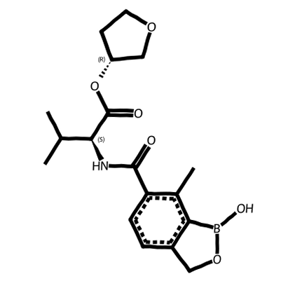 Cc1c(C(=O)N[C@H](C(=O)O[C@@H]2CCOC2)C(C)C)ccc2c1B(O)OC2